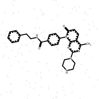 Cc1nc(N2CCNCC2)nc2c1ccc(=O)n2-c1ccc(C(=O)NCCc2ccccc2)cc1